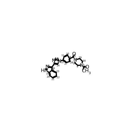 CC(=O)N1CCN(C(=O)c2ccc(-n3cc(-c4n[nH]c5ccccc45)nn3)cc2)CC1